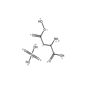 NC(CC(=O)OO)C(=O)O.O=S(=O)(O)O